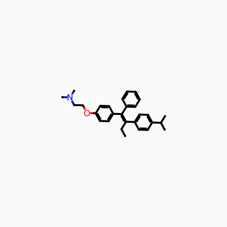 CCC(=C(c1cc[c]cc1)c1ccc(OCCN(C)C)cc1)c1ccc(C(C)C)cc1